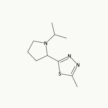 Cc1nnc(C2CCCN2C(C)C)s1